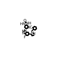 N#Cc1ccccc1Cn1nccc1-c1cc(F)c2nnn(-c3ccc4[nH]c(=O)[nH]c4c3)c2c1